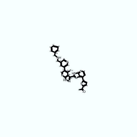 CC(=O)c1ccc(-c2ccnc3[nH]c(-c4n[nH]c5ncc(-c6cncc(CNCc7ccccc7)c6)c(F)c45)nc23)s1